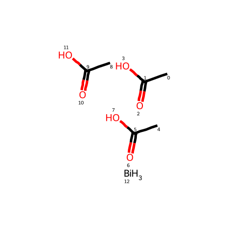 CC(=O)O.CC(=O)O.CC(=O)O.[BiH3]